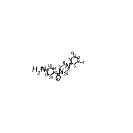 Cc1cc(C)cc(N2CCN(C(=O)c3ccc(N)cc3)CC2)c1